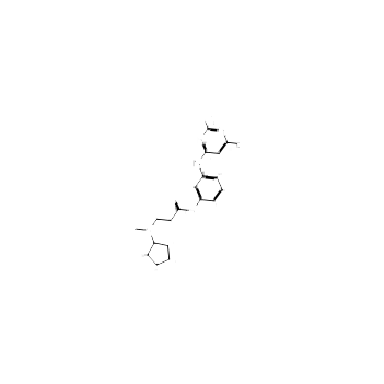 CN(CCC(=O)Nc1cccc(Nc2cc(S)nc(S)n2)c1)C1CCCC1